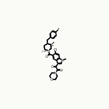 C[C@@H]1CC(Cc2ccc(F)cc2)[C@@H](C)CN1C(=O)c1cc2c(C(=O)C(=O)N3CCOCC3)cn(C)c2cc1Cl